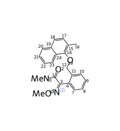 CNC(=O)/C(=N\OC)c1ccccc1COc1c(C)ccc2ccccc12